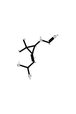 CC1(C)/C(=C\C(Cl)Cl)C1OC=O